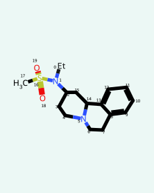 CCN(C1CCN2CCc3ccccc3C2C1)S(C)(=O)=O